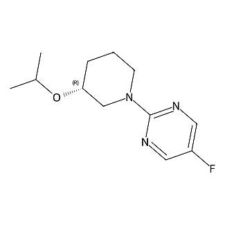 CC(C)O[C@@H]1CCCN(c2ncc(F)cn2)C1